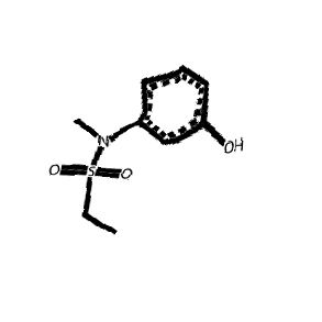 CCS(=O)(=O)N(C)c1cccc(O)c1